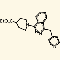 CCOC(=O)C1CCN(c2nnc(Cc3ccncc3)c3ccccc23)CC1